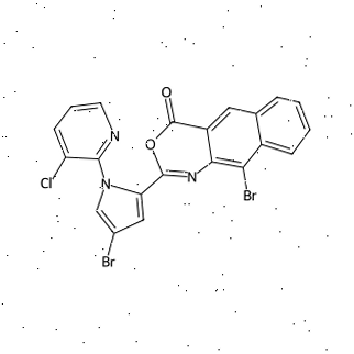 O=c1oc(-c2cc(Br)cn2-c2ncccc2Cl)nc2c(Br)c3ccccc3cc12